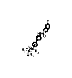 CN(C(=O)C(C)(C)O)C12CCC(c3ccc(NC(=O)N4Cc5ccc(F)cc5C4)cc3)(CC1)CC2